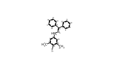 Cc1cc(NN=C(c2ccccc2)c2ccccc2)cc(C)c1F